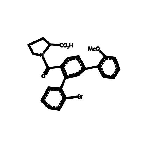 COc1ccccc1-c1ccc(C(=O)N2CCCC2C(=O)O)c(-c2ccccc2Br)c1